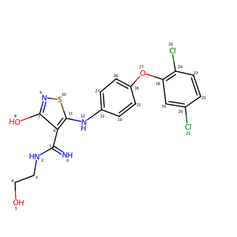 N=C(NCCO)c1c(O)nsc1Nc1ccc(Oc2cc(Cl)ccc2Cl)cc1